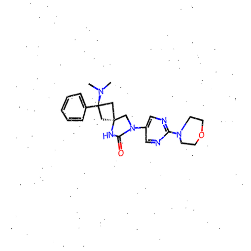 CN(C)[C@]1(c2ccccc2)C[C@@]2(CN(c3cnc(N4CCOCC4)nc3)C(=O)N2)C1